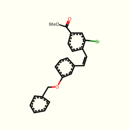 COC(=O)c1ccc(/C=C\c2cccc(OCc3ccccc3)c2)c(Br)c1